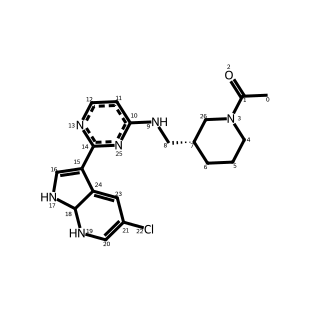 CC(=O)N1CCC[C@H](CNc2ccnc(C3=CNC4NC=C(Cl)C=C34)n2)C1